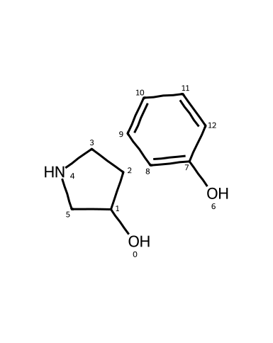 OC1CCNC1.Oc1ccccc1